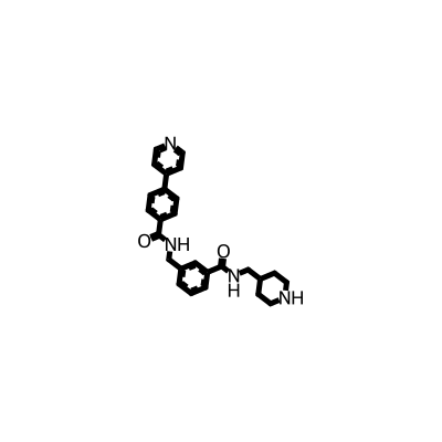 O=C(NCc1cccc(C(=O)NCC2CCNCC2)c1)c1ccc(-c2ccncc2)cc1